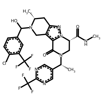 CNC(=O)[C@@H]1CN([C@H](C)c2cnc(C(F)(F)F)nc2)C(=O)c2c3c(nn21)C[C@@H](C)N(C(O)c1ccc(Cl)c(C(F)(F)F)c1)C3